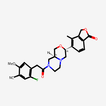 COc1cc(CC(=O)N2CCN3C[C@@H](c4ccc5c(c4C)COC5=O)OC[C@@H]3C2)c(F)cc1C#N